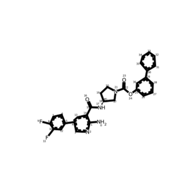 Nc1ncc(-c2ccc(F)c(F)c2)cc1C(=O)N[C@@H]1CCN(C(=O)Oc2cccc(-c3ccccc3)c2)C1